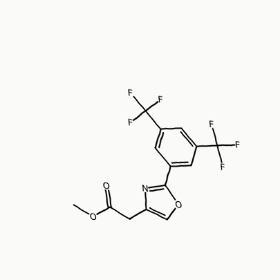 COC(=O)Cc1coc(-c2cc(C(F)(F)F)cc(C(F)(F)F)c2)n1